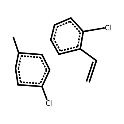 C=Cc1ccccc1Cl.Cc1ccc(Cl)cc1